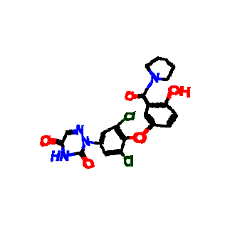 O=C(c1cc(Oc2c(Cl)cc(-n3ncc(=O)[nH]c3=O)cc2Cl)ccc1O)N1CCCCC1